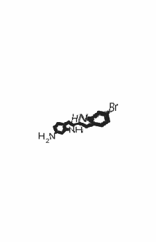 Nc1ccc2cc(-c3cc4ccc(Br)cc4[nH]3)[nH]c2c1